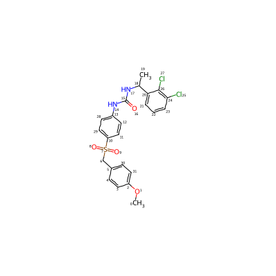 COc1ccc(CS(=O)(=O)c2ccc(NC(=O)NC(C)c3cccc(Cl)c3Cl)cc2)cc1